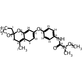 CCC1(OC)CC(C)=C2CC=C(Oc3ccc(NC(=O)N(C)OC)cc3)C=C2O1